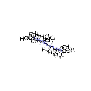 CC1=C[C@H](O)CC(C)(C)[C@H]1/C=C/C(C)=C/C=C/C(C)=C/C=C/C=C(C)/C=C/C=C(C)/C=C/C1=C(C)C[C@@H](O)CC1(C)C.ClC(Cl)Cl